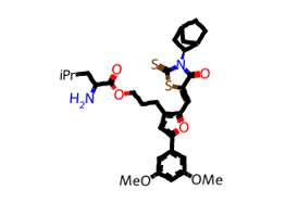 COc1cc(OC)cc(-c2cc(CCCOC(=O)C(N)CC(C)C)c(C=C3SC(=S)N([C@H]4CC5CCC4C5)C3=O)o2)c1